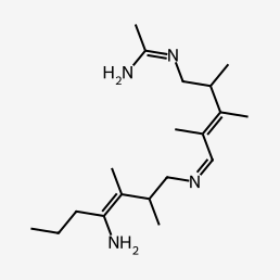 CCC/C(N)=C(\C)C(C)C/N=C\C(C)=C(/C)C(C)C/N=C(/C)N